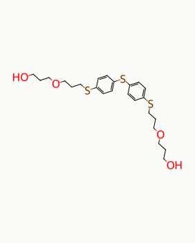 OCCCOCCCSc1ccc(Sc2ccc(SCCCOCCCO)cc2)cc1